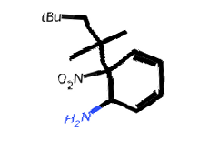 CC(C)(C)CC(C)(C)C1([N+](=O)[O-])C=CC=CC1N